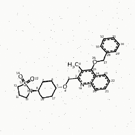 Cc1c(CO[C@H]2CC[C@H](N3CCCS3(=O)=O)CC2)nc2ccccc2c1OCc1ccccc1